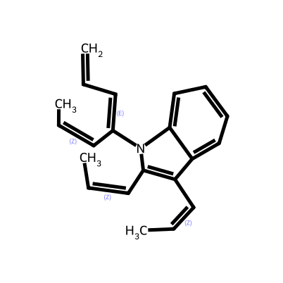 C=C/C=C(\C=C/C)n1c(/C=C\C)c(/C=C\C)c2ccccc21